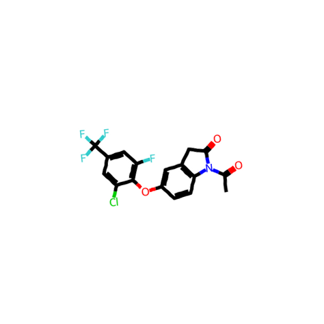 CC(=O)N1C(=O)Cc2cc(Oc3c(F)cc(C(F)(F)F)cc3Cl)ccc21